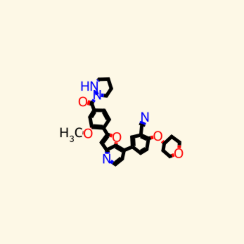 COc1cc(C(=O)N2CCCCN2)ccc1-c1cc2nccc(-c3ccc(OC4CCOCC4)c(C#N)c3)c2o1